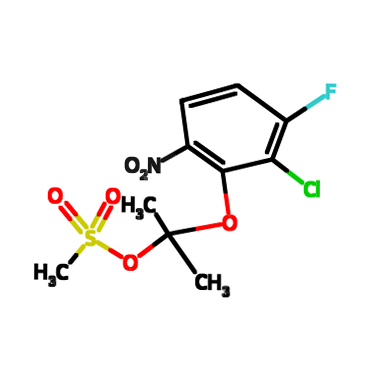 CC(C)(Oc1c([N+](=O)[O-])ccc(F)c1Cl)OS(C)(=O)=O